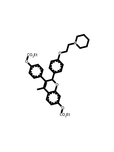 CCOC(=O)Oc1ccc(C2=C(C)c3ccc(OC(=O)OCC)cc3OC2c2ccc(OCCN3CCCCC3)cc2)cc1